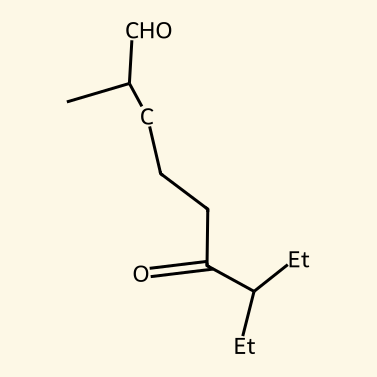 CCC(CC)C(=O)CCCC(C)C=O